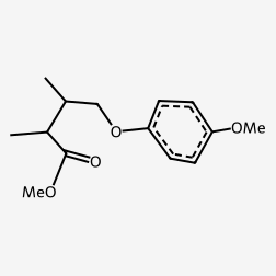 COC(=O)C(C)C(C)COc1ccc(OC)cc1